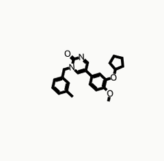 COc1ccc(-c2cnc(=O)n(Cc3cccc(C)c3)c2)cc1OC1CCCC1